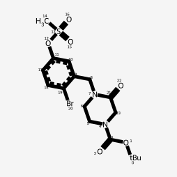 CC(C)(C)OC(=O)N1CCN(Cc2cc(OS(C)(=O)=O)ccc2Br)C(=O)C1